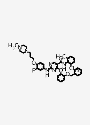 Cc1cccc(C)c1NC(=O)c1cnc(Nc2ccc(OCCCN3CCN(C)CC3)c(F)c2)nc1Oc1ccccc1OCc1ccccc1